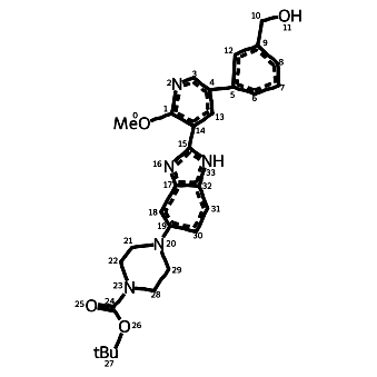 COc1ncc(-c2cccc(CO)c2)cc1-c1nc2cc(N3CCN(C(=O)OC(C)(C)C)CC3)ccc2[nH]1